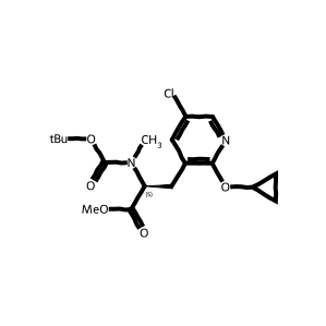 COC(=O)[C@H](Cc1cc(Cl)cnc1OC1CC1)N(C)C(=O)OC(C)(C)C